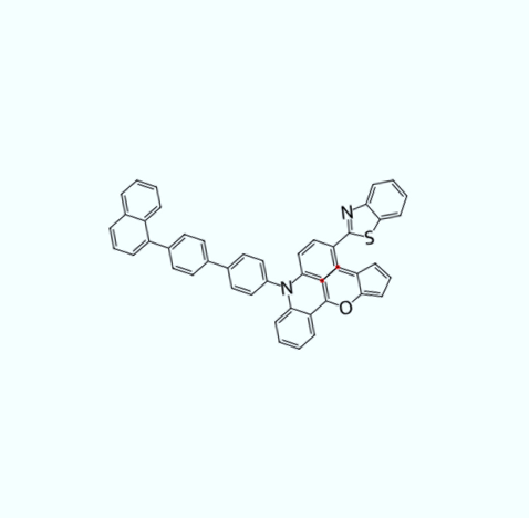 c1cc2ccc(-c3ccccc3N(c3ccc(-c4ccc(-c5cccc6ccccc56)cc4)cc3)c3ccc(-c4nc5ccccc5s4)cc3)oc-2c1